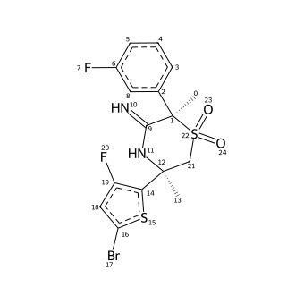 C[C@@]1(c2cccc(F)c2)C(=N)N[C@](C)(c2sc(Br)cc2F)CS1(=O)=O